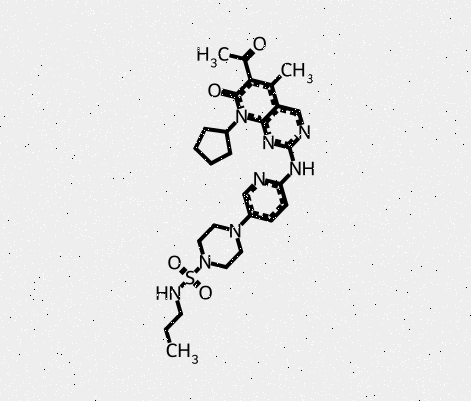 CCCNS(=O)(=O)N1CCN(c2ccc(Nc3ncc4c(C)c(C(C)=O)c(=O)n(C5CCCC5)c4n3)nc2)CC1